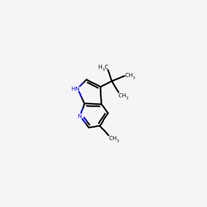 Cc1cnc2[nH]cc(C(C)(C)C)c2c1